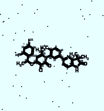 Cc1cnc(-c2ccc3c(n2)C(C)(C)C(=O)N3)cc1-n1c(C)cc(OC(C)c2ccc(F)cc2F)c(Cl)c1=O